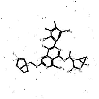 CC[C@@H]1N[C@H]2CC2[C@@H]1[C@H](C)Oc1nc(-c2cc(N)c(F)c(C)c2C(F)(F)F)c(F)c2nc(OC[C@]34CCN3C[C@H](F)C4)nc(N)c12